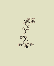 CCCCCCCCN1C(C(C)C)CC(OC(=O)CCC(=O)OC2CC(C(C)C)N(O)C(C(C)C)C2)CC1(C)C